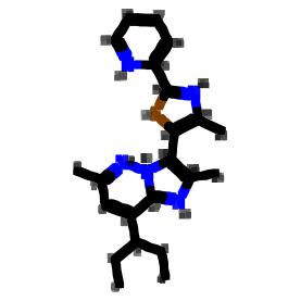 CCC(CC)c1cc(C)nn2c(-c3sc(-c4ccccn4)nc3C)c(C)nc12